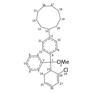 COC(c1ccccc1)(c1ccc(C2CCCCCCCC2)cc1)C1CC=CC=C1Cl